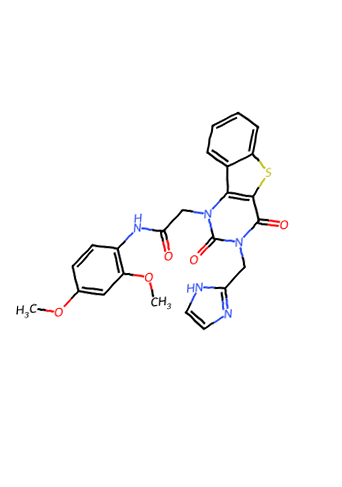 COc1ccc(NC(=O)Cn2c(=O)n(Cc3ncc[nH]3)c(=O)c3sc4ccccc4c32)c(OC)c1